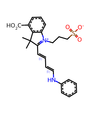 CC1(C)C(/C=C/C=C/Nc2ccccc2)=[N+](CCCS(=O)(=O)[O-])c2cccc(C(=O)O)c21